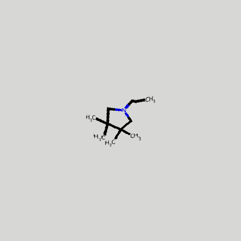 CCN1CC(C)(C)C(C)(C)C1